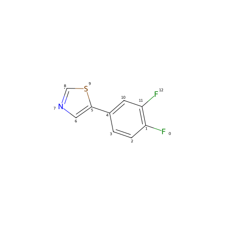 Fc1ccc(-c2cn[c]s2)cc1F